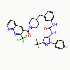 Cc1ccc(-n2nc(C(C)(C)C)cc2NC(=O)Nc2cccc(CC3CCN(C(=O)c4cc5cccnc5nc4C(F)(F)F)CC3)c2)cc1